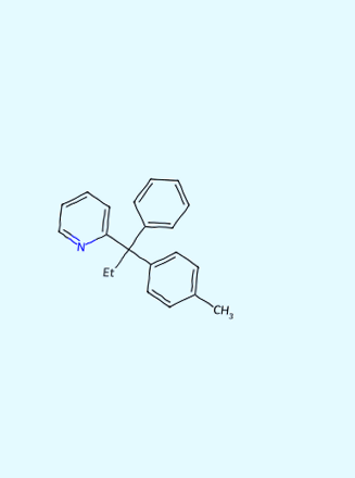 [CH2]CC(c1ccccc1)(c1ccc(C)cc1)c1ccccn1